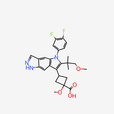 COCC(C)(C)c1c(C2CC(OC)(C(=O)O)C2)c2cc3[nH]ncc3cc2n1-c1ccc(F)c(F)c1